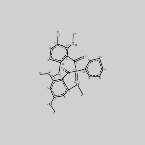 COc1cc(OC)c(C(=O)P(=O)(C(=O)c2c(OC)ccc(Cl)c2OC)c2ccccc2)c(OC)c1